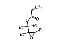 C=CC(=O)OC(CC)(CC)C1(CC)OC1CC